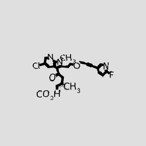 C[C@H](CC(=O)O)CC(=O)c1c(CCOCC#Cc2ccc(F)nc2)n(C)c2ncc(Cl)cc12